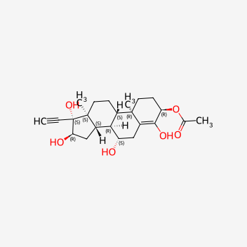 C#C[C@]1(O)[C@H](O)C[C@H]2[C@@H]3[C@@H](O)CC4=C(O)[C@H](OC(C)=O)CC[C@]4(C)[C@H]3CC[C@@]21C